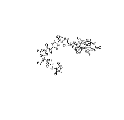 C[C@H](c1ccc(NC(=O)[C@H](C)NC(=O)[C@H](C)NC(=O)CCN2C(=O)C=CC2=O)cc1)c1ccc([C@@H]2O[C@@H]3CC4[C@@H]5C[C@H](F)C6=CC(=O)C=C[C@]6(C)[C@@]5(F)[C@@H](O)C[C@]4(C)[C@]3(C(=O)CO)O2)cc1